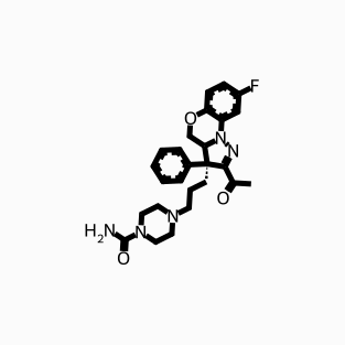 CC(=O)C1=NN2c3cc(F)ccc3OCC2[C@]1(CCCN1CCN(C(N)=O)CC1)c1ccccc1